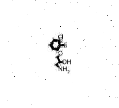 NCC(O)COc1cccc(Cl)c1F